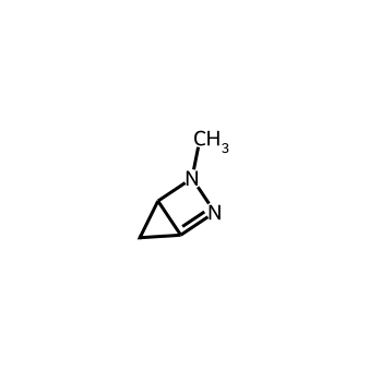 CN1N=C2CC21